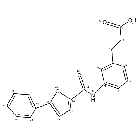 O=C(O)CCc1cccc(NC(=O)c2ccc(-c3ccccc3)o2)c1